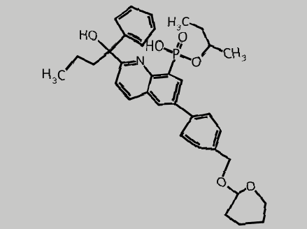 CCCC(O)(c1ccccc1)c1ccc2cc(-c3ccc(COC4CCCCO4)cc3)cc(P(=O)(O)OC(C)CC)c2n1